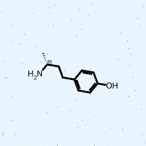 C[C@@H](N)CCc1ccc(O)cc1